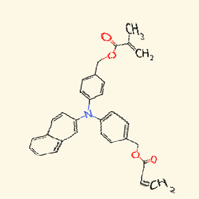 C=CC(=O)OCc1ccc(N(c2ccc(COC(=O)C(=C)C)cc2)c2ccc3ccccc3c2)cc1